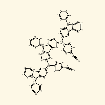 [C-]#[N+]c1ccc(N(c2ccc3c(c2)c2ccccc2n3-c2ccccc2)c2ccc3c(c2)c2cc(N(c4ccc(C#N)cc4)c4ccc5c(c4)c4ccccc4n5-c4ccccc4)ccc2n3-c2ccccc2)cc1